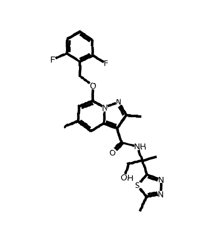 Cc1cc(OCc2c(F)cccc2F)n2nc(C)c(C(=O)NC(C)(CO)c3nnc(C)s3)c2c1